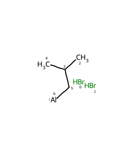 Br.Br.CC(C)[CH2][Al]